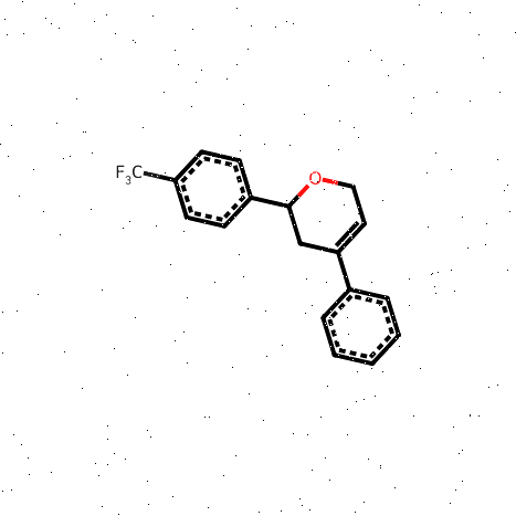 FC(F)(F)c1ccc(C2CC(c3ccccc3)=CCO2)cc1